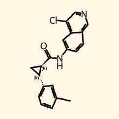 Cc1cccc([C@@H]2C[C@H]2C(=O)Nc2ccc3cncc(Cl)c3c2)c1